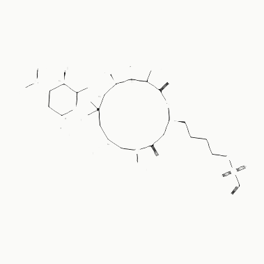 C=CS(=O)(=O)NCCCC[C@H]1CC(=O)N(C)C[C@H](C)CC(C)(O)[C@H](OC2O[C@H](C)C[C@H](N(C)C)[C@H]2O)[C@@H](C)[C@H](O)C(C)C(=O)N1